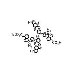 CCOC(=O)Cc1cccc2c1OCC2(C)c1ccn(-c2cc(Oc3c(F)cc4[nH]ccc4c3F)ccc2F)n1.C[C@]1(c2ccn(-c3cc(Oc4c(F)cc5[nH]ccc5c4F)ccc3F)n2)COc2c(CC(=O)O)cccc21